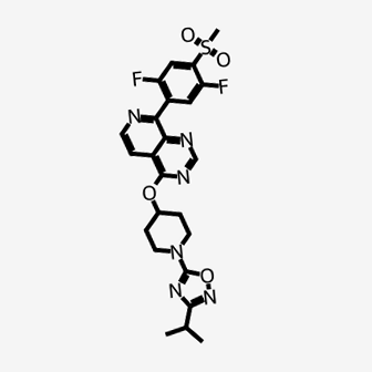 CC(C)c1noc(N2CCC(Oc3ncnc4c(-c5cc(F)c(S(C)(=O)=O)cc5F)nccc34)CC2)n1